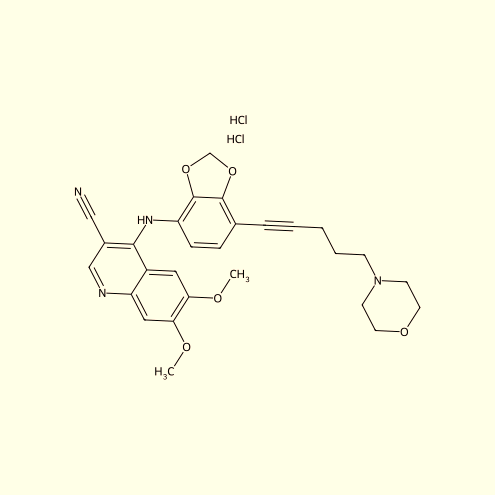 COc1cc2ncc(C#N)c(Nc3ccc(C#CCCCN4CCOCC4)c4c3OCO4)c2cc1OC.Cl.Cl